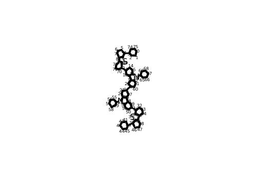 c1ccc(-c2cccc3c2sc2c(-c4ccc5c(c4)c4cc(-c6ccc7c(c6)c6cc(-c8cccc9c8sc8c(-c%10ccccc%10)cccc89)ccc6n7-c6ccccc6)ccc4n5-c4ccccc4)cccc23)cc1